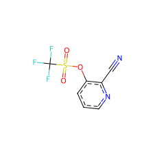 N#Cc1ncccc1OS(=O)(=O)C(F)(F)F